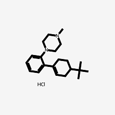 CN1CCN(c2ccccc2C2=CCC(C(C)(C)C)CC2)CC1.Cl